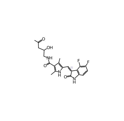 CC(=O)CC(O)CNC(=O)c1c(C)[nH]c(/C=C2\C(=O)Nc3ccc(F)c(F)c32)c1C